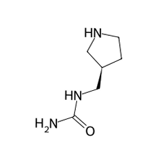 NC(=O)NC[C@@H]1CCNC1